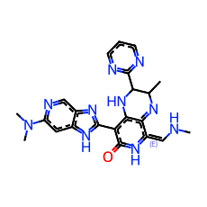 CN/C=c1/[nH]c(=O)c(-c2nc3cnc(N(C)C)cc3[nH]2)c2c1=NC(C)C(c1ncccn1)N2